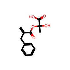 C=C(Cc1ccccc1)C(=O)OC(C)(O)C(=O)O